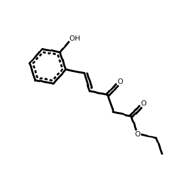 CCOC(=O)CC(=O)C=Cc1ccccc1O